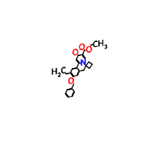 C=Cc1cc2c(cc1OCc1ccccc1)CC1(CCC1)n1cc(C(=O)OCC)c(=O)cc1-2